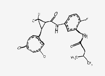 CC(CC(=O)Nc1cc(NC(=O)C2C(c3cc(Cl)cc(Cl)c3)C2(Cl)Cl)ccc1F)C(F)(F)F